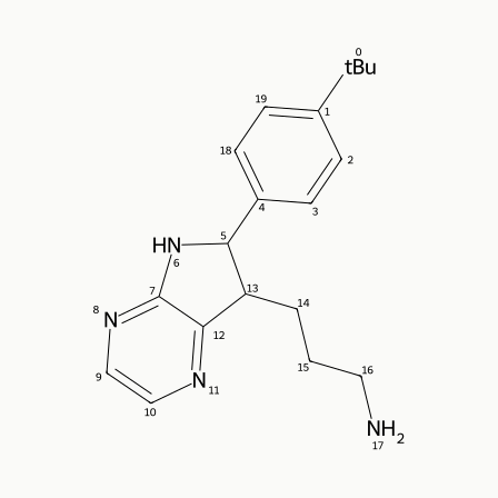 CC(C)(C)c1ccc(C2Nc3nccnc3C2CCCN)cc1